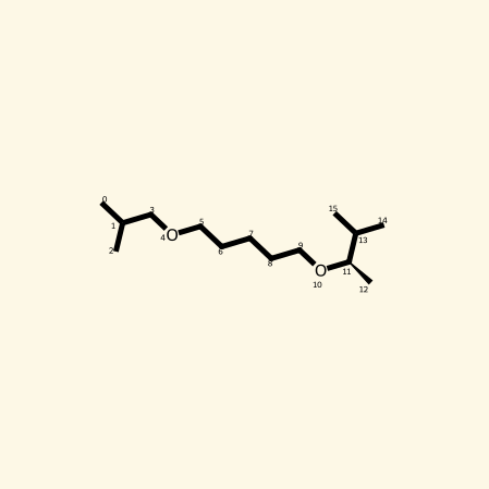 CC(C)COCCCCCO[C@H](C)C(C)C